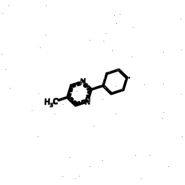 Cc1cnc(C2CC[CH]CC2)nc1